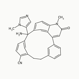 Cn1cncc1C1(N)c2ccc(C#N)c(c2)CCc2cccc(c2)-c2cc(=O)n(C)c3ccc1cc23